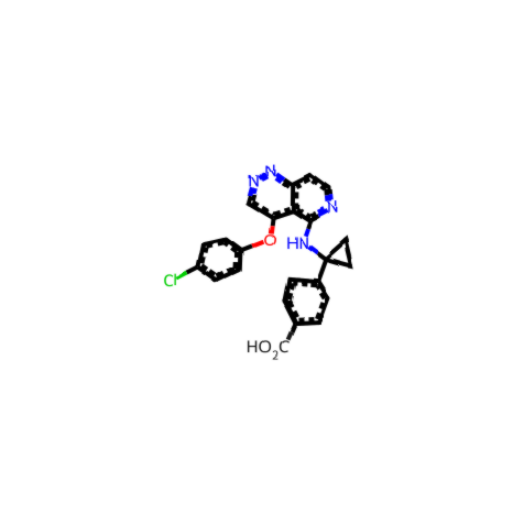 O=C(O)c1ccc(C2(Nc3nccc4nncc(Oc5ccc(Cl)cc5)c34)CC2)cc1